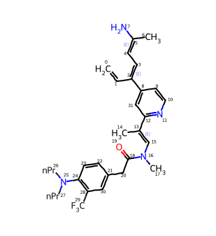 C=C/C(=C\C=C(/C)N)c1ccnc(/C(C)=C/N(C)C(=O)Cc2ccc(N(CCC)CCC)c(C(F)(F)F)c2)c1